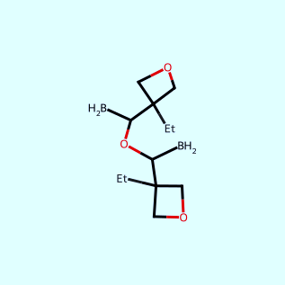 BC(OC(B)C1(CC)COC1)C1(CC)COC1